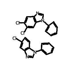 Clc1cc2ncn(-c3ccccc3)c2cc1Cl.Clc1ccc2c(c1)ncn2-c1ccccc1